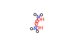 OCC(COCOCC(O)CN(Cc1ccccc1)Cc1ccccc1)CN(Cc1ccccc1)Cc1ccccc1